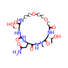 CC(O)[C@H]1NC(=O)COCCOCCNC(=O)[C@@H](CO)NC(=O)NC(CC(N)=O)C(=O)NN(C)C1=O